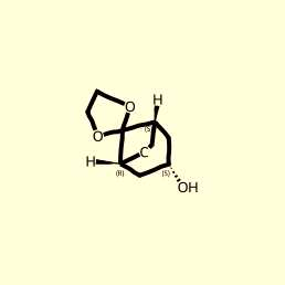 O[C@@H]1C[C@H]2CC[C@@H](C1)C21OCCO1